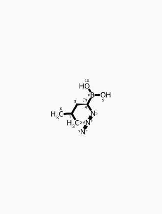 CC(C)C[C@H](N=[N+]=[N-])B(O)O